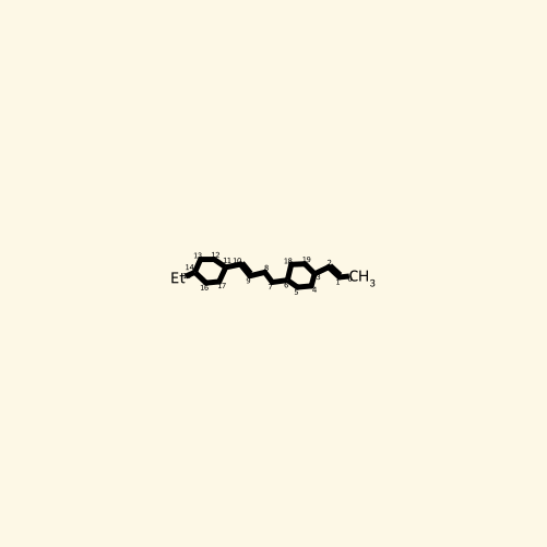 CC=CC1CCC(CCC=CC2CCC(CC)CC2)CC1